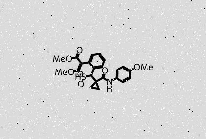 COC=C(C(=O)OC)c1ccccc1C([SH](=O)=O)C1(C(=O)Nc2ccc(OC)cc2)CC1